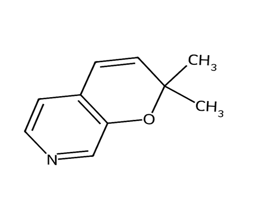 CC1(C)C=Cc2ccncc2O1